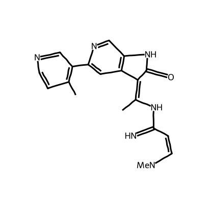 CN/C=C\C(=N)N/C(C)=C1\C(=O)Nc2cnc(-c3cnccc3C)cc21